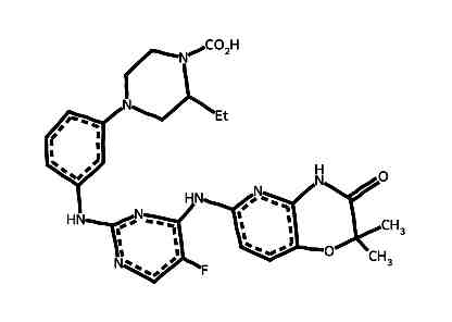 CCC1CN(c2cccc(Nc3ncc(F)c(Nc4ccc5c(n4)NC(=O)C(C)(C)O5)n3)c2)CCN1C(=O)O